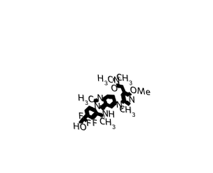 COc1ncc(N(C)c2ccc3nc(C)nc(N[C@H](C)c4cccc(C(F)(F)CO)c4F)c3c2)cc1CC(=O)N(C)C